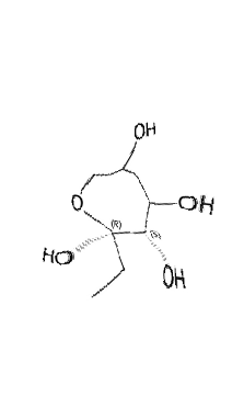 CC[C@@]1(O)OCC(O)C(O)[C@@H]1O